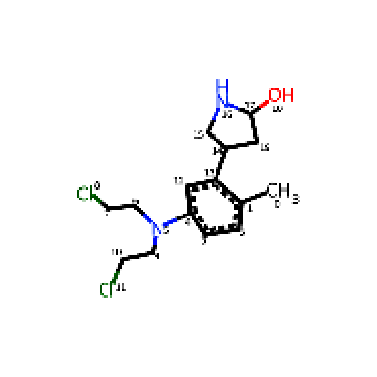 Cc1ccc(N(CCCl)CCCl)cc1C1CNC(O)C1